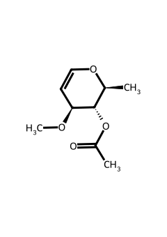 CO[C@H]1C=CO[C@@H](C)[C@@H]1OC(C)=O